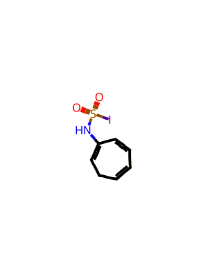 O=S(=O)(I)NC1=CCC=CC=C1